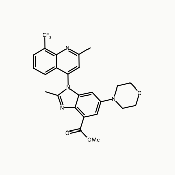 COC(=O)c1cc(N2CCOCC2)cc2c1nc(C)n2-c1cc(C)nc2c(C(F)(F)F)cccc12